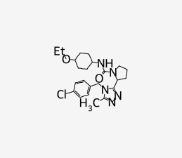 CCOC1CCC(NC(=O)N2CCCC2c2nnc(C)n2Cc2ccc(Cl)cc2)CC1